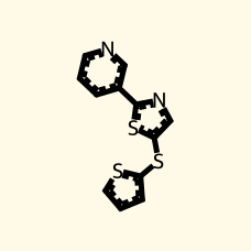 c1cncc(-c2ncc(Sc3cccs3)s2)c1